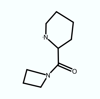 O=C(C1CCCC[N]1)N1CCC1